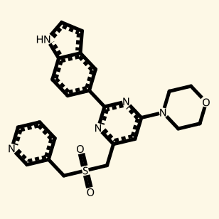 O=S(=O)(Cc1cccnc1)Cc1cc(N2CCOCC2)nc(-c2ccc3[nH]ccc3c2)n1